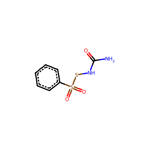 NC(=O)NSS(=O)(=O)c1ccccc1